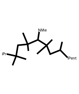 CCCC(C)C(C)CC(C)(C)C(NC)C(C)(C)CC(C)(C)C(C)C